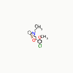 CCCCN1C2=C(CCC2)S/C1=C\C(=O)c1cc(Cl)ccc1OC